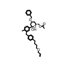 C=CCOCCCCc1ccc(Cc2cc([C@@]3(O)C[C@@H](OCc4ccccc4)C[C@@H](COC(C)=O)O3)ccc2C)cc1